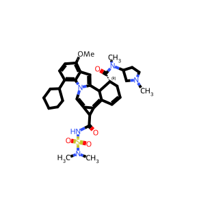 COc1ccc(C2CCCCC2)c2c1cc1n2C=C2C(=C3C=CC[C@@H](C(=O)N(C)C4CCN(C)C4)C31)C2C(=O)NS(=O)(=O)N(C)C